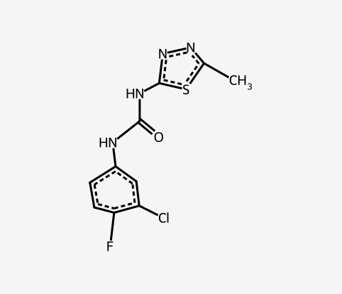 Cc1nnc(NC(=O)Nc2ccc(F)c(Cl)c2)s1